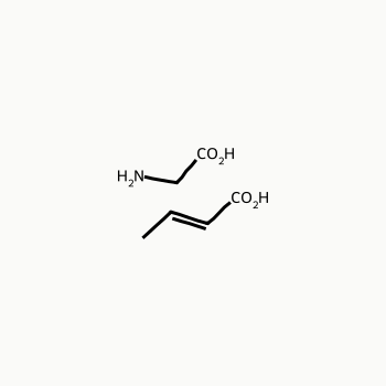 CC=CC(=O)O.NCC(=O)O